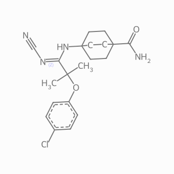 CC(C)(Oc1ccc(Cl)cc1)/C(=N/C#N)NC12CCC(C(N)=O)(CC1)CC2